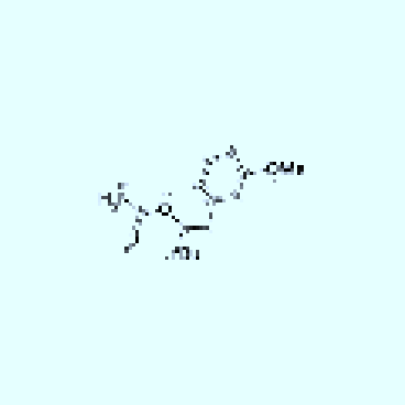 CCCCC(Cc1cccc(OC)c1)OC(N)=O